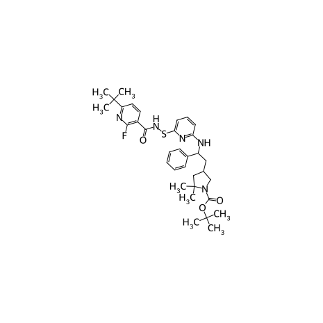 CC(C)(C)OC(=O)N1CC(CC(Nc2cccc(SNC(=O)c3ccc(C(C)(C)C)nc3F)n2)c2ccccc2)CC1(C)C